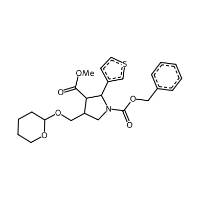 COC(=O)C1C(COC2CCCCO2)CN(C(=O)OCc2ccccc2)C1c1ccsc1